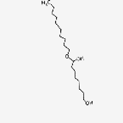 CCCCCCCCCCOC(O)CCCCCCCO